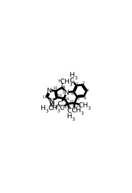 Cc1cccc2c1N1[C@@H](C)c3ncn(C)c3C1(C)C(C)(C)C2(C)C